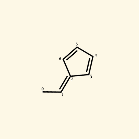 CC=C1[C]=CC=C1